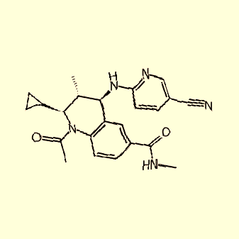 CNC(=O)c1ccc2c(c1)[C@H](Nc1ccc(C#N)cn1)[C@@H](C)[C@H](C1CC1)N2C(C)=O